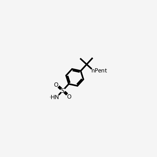 CCCCCC(C)(C)c1ccc(S([NH])(=O)=O)cc1